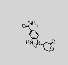 NC(=O)c1ccc2c(c1)NON2C1CCOC(=O)C1